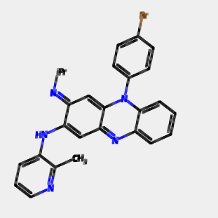 Cc1ncccc1Nc1cc2nc3ccccc3n(-c3ccc(Br)cc3)c-2c/c1=N\C(C)C